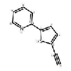 C#Cc1ccc(-c2ccccn2)s1